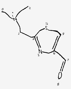 CN(C)Cc1nc(C=O)cs1